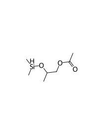 CC(=O)OCC(C)O[SiH](C)C